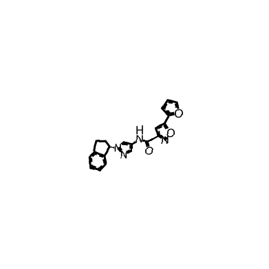 O=C(Nc1cnn([C@@H]2CCc3ccccc32)c1)c1cc(-c2ccco2)on1